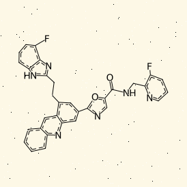 O=C(NCc1ncccc1F)c1cnc(-c2cc(CCc3nc4c(F)cccc4[nH]3)c3cc4ccccc4nc3c2)o1